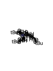 CC(C)(C)OC(=O)NCc1cnn(C[C@H]2NC(=O)[C@H]2NC(=O)/C(=N\OC(C)(C)C(=O)OC(C)(C)C)c2csc(NC(=O)OC(C)(C)C)n2)n1